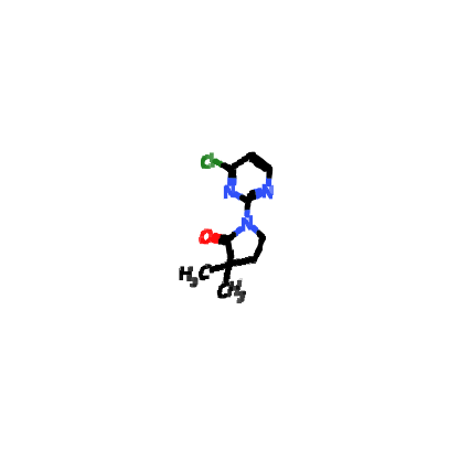 CC1(C)CCN(c2nccc(Cl)n2)C1=O